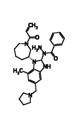 C=CC(=O)N1CCCC[C@@H](N2c3c(C)cc(CN4CCCC4)cc3NC2N(N)C(=O)c2ccccc2)C1